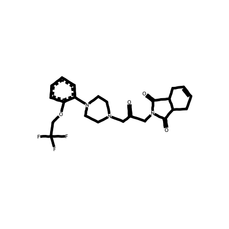 O=C(CN1CCN(c2ccccc2OCC(F)(F)F)CC1)CN1C(=O)C2CC=CCC2C1=O